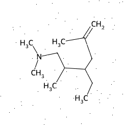 C=C(C)CC(CC)C(C)CN(C)C